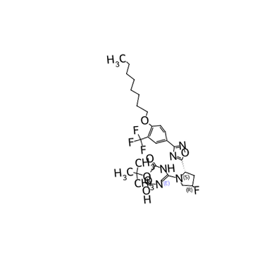 CCCCCCCCOc1ccc(-c2noc([C@@H]3C[C@@H](F)CN3/C(=N/C(=O)O)NC(=O)OC(C)(C)C)n2)cc1C(F)(F)F